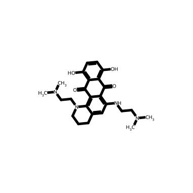 CN(C)CCNc1cc2c(c3c1C(=O)c1c(O)ccc(O)c1C3=O)N(CCN(C)C)CCC2